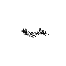 C=C(COCCC(F)(F)C(F)(F)S(=O)(=O)O)C(=O)OC1CCC(C(O)(C(F)(F)F)C(F)(F)F)CC1